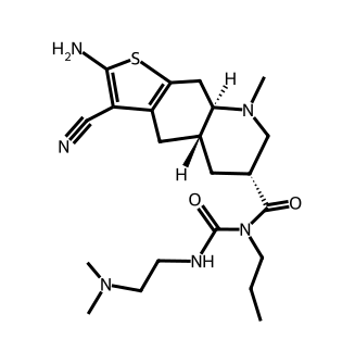 CCCN(C(=O)NCCN(C)C)C(=O)[C@@H]1C[C@@H]2Cc3c(sc(N)c3C#N)C[C@H]2N(C)C1